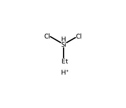 CC[SiH](Cl)Cl.[H+]